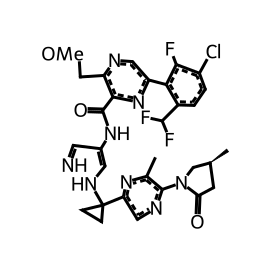 COCc1ncc(-c2c(C(F)F)ccc(Cl)c2F)nc1C(=O)N/C(C=N)=C/NC1(c2cnc(N3C[C@@H](C)CC3=O)c(C)n2)CC1